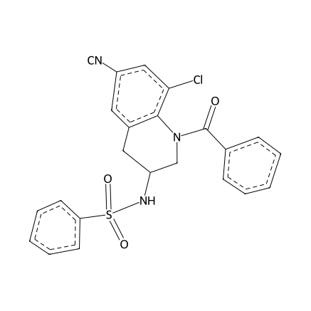 [C-]#[N+]c1cc(Cl)c2c(c1)CC(NS(=O)(=O)c1ccccc1)CN2C(=O)c1ccccc1